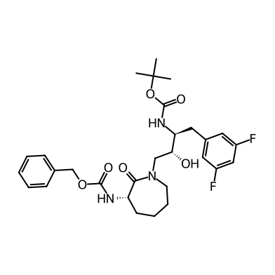 CC(C)(C)OC(=O)N[C@@H](Cc1cc(F)cc(F)c1)[C@H](O)CN1CCCC[C@H](NC(=O)OCc2ccccc2)C1=O